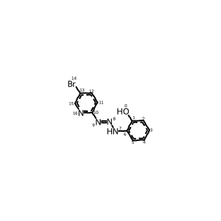 Oc1ccccc1NN=Nc1ccc(Br)cn1